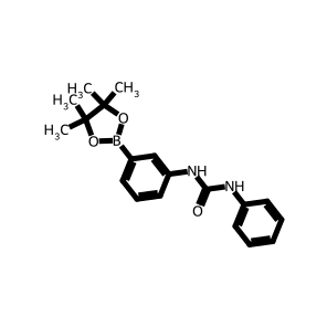 CC1(C)OB(c2cccc(NC(=O)Nc3ccccc3)c2)OC1(C)C